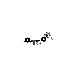 CN(c1ccc(NC[C@@H](O)CNCCc2cccc(Cl)c2)cc1)S(C)(=O)=O